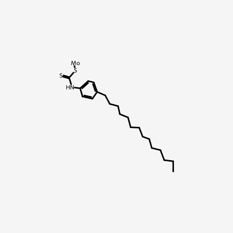 CCCCCCCCCCCCCCc1ccc(NC(=S)[S][Mo])cc1